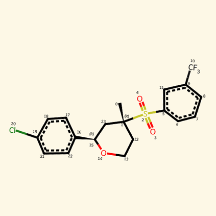 C[C@@]1(S(=O)(=O)c2cccc(C(F)(F)F)c2)CCO[C@@H](c2ccc(Cl)cc2)C1